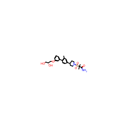 Cc1cc(C2CCN(S(=O)(=O)C(C)(C)C(N)=O)CC2)ccc1-c1cccc(OC[C@H](O)CO)c1